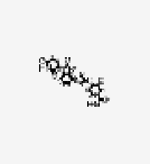 Cn1c(=O)n(C2CCC(=O)NC2=O)c2cccc(N3CC(O[C@H]4CCN(C(=O)O)C[C@@H]4F)C3)c21